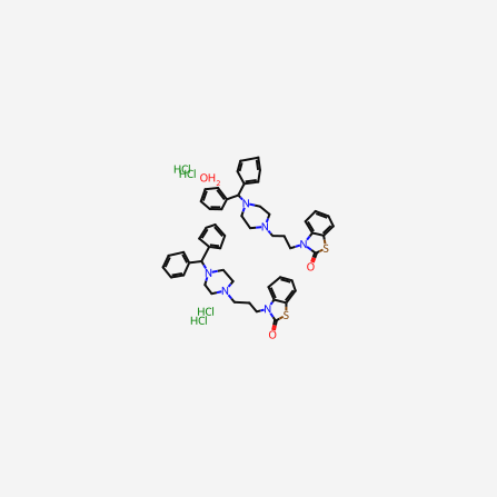 Cl.Cl.Cl.Cl.O.O=c1sc2ccccc2n1CCCN1CCN(C(c2ccccc2)c2ccccc2)CC1.O=c1sc2ccccc2n1CCCN1CCN(C(c2ccccc2)c2ccccc2)CC1